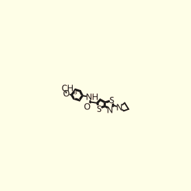 COc1ccc(NC(=O)c2cc3sc(N4CCC4)nc3s2)cc1